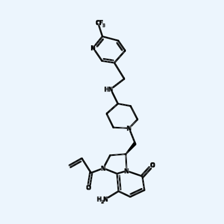 C=CC(=O)N1C[C@@H](CN2CCC(NCc3ccc(C(F)(F)F)nc3)CC2)n2c1c(N)ccc2=O